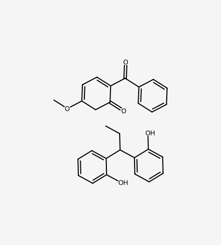 CCC(c1ccccc1O)c1ccccc1O.COC1=CC=C(C(=O)c2ccccc2)C(=O)C1